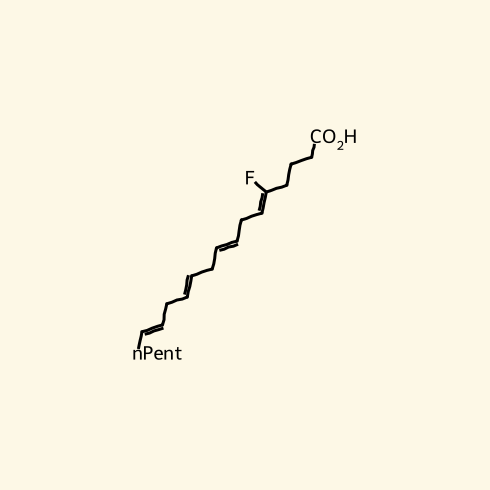 CCCCCC=CCC=CCC=CCC=C(F)CCCC(=O)O